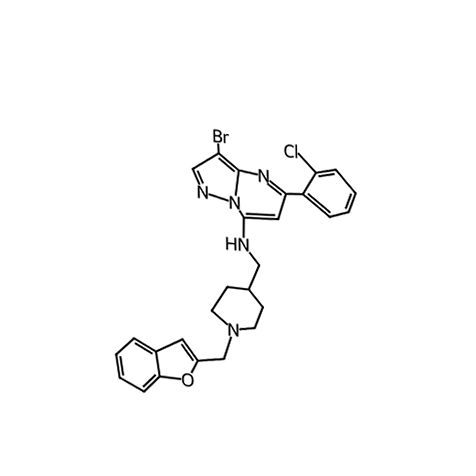 Clc1ccccc1-c1cc(NCC2CCN(Cc3cc4ccccc4o3)CC2)n2ncc(Br)c2n1